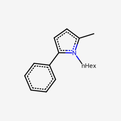 CCCCCCn1c(C)ccc1-c1ccccc1